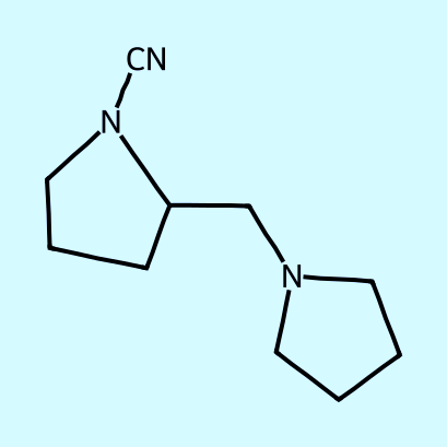 N#CN1CCCC1CN1CCCC1